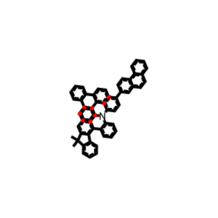 CC1(C)c2ccccc2-c2c(-c3ccccc3N(c3ccc(-c4ccc5c(ccc6ccccc65)c4)cc3)c3ccccc3-c3ccccc3-c3ccccc3-c3ccccc3)cccc21